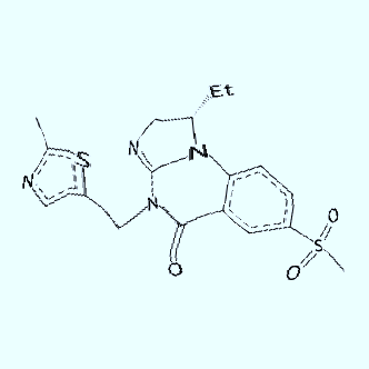 CC[C@H]1CN=C2N(Cc3cnc(C)s3)C(=O)c3cc(S(C)(=O)=O)ccc3N21